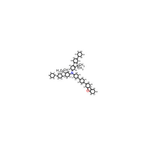 CC1(C)c2cc(-c3ccccc3)ccc2-c2ccc(N(c3ccc(-c4ccc(-c5ccc6c(c5)oc5ccccc56)cc4)cc3)c3ccc4c(c3)C(C)(C)c3cc(-c5ccccc5)ccc3-4)cc21